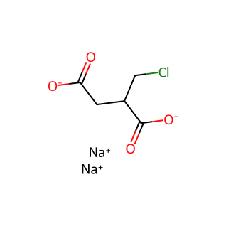 O=C([O-])CC(CCl)C(=O)[O-].[Na+].[Na+]